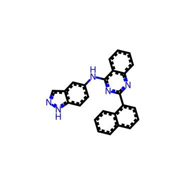 c1ccc2c(-c3nc(Nc4ccc5[nH]ncc5c4)c4ccccc4n3)cccc2c1